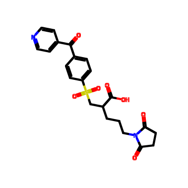 O=C(c1ccncc1)c1ccc(S(=O)(=O)CC(CCCN2C(=O)CCC2=O)C(=O)O)cc1